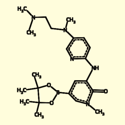 CN(C)CCN(C)c1ccc(Nc2cc(B3OC(C)(C)C(C)(C)O3)cn(C)c2=O)nc1